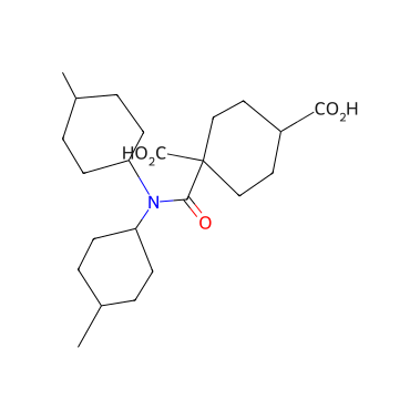 CC1CCC(N(C(=O)C2(C(=O)O)CCC(C(=O)O)CC2)C2CCC(C)CC2)CC1